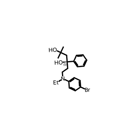 CCN(CC[C@](O)(CC(C)(C)O)c1ccccc1)c1ccc(Br)cc1